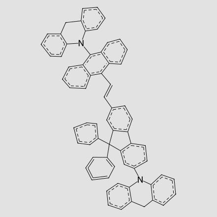 C1=C=CC(C2(c3ccccc3)c3cc(/C=C/c4c5ccccc5c(N5c6ccccc6Cc6ccccc65)c5ccccc45)ccc3-c3ccc(N4c5ccccc5Cc5ccccc54)cc32)=CC=1